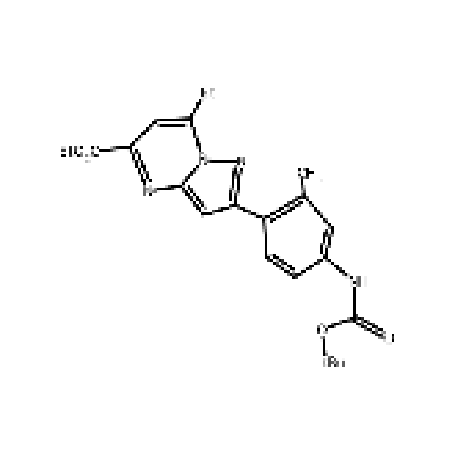 CCOC(=O)c1cc(CC)n2nc(-c3ccc(NC(=O)OC(C)(C)C)cc3C)cc2n1